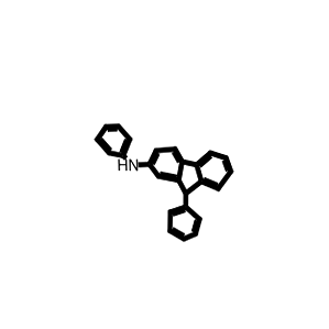 c1ccc(Nc2ccc3c(c2)C(c2ccccc2)c2ccccc2-3)cc1